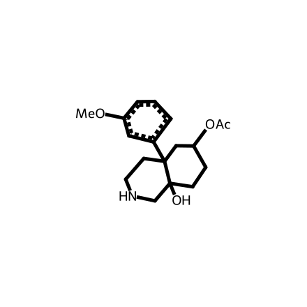 COc1cccc(C23CCNCC2(O)CCC(OC(C)=O)C3)c1